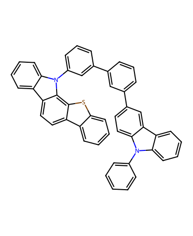 c1ccc(-n2c3ccccc3c3cc(-c4cccc(-c5cccc(-n6c7ccccc7c7ccc8c9ccccc9sc8c76)c5)c4)ccc32)cc1